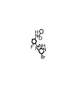 O=C(Nc1ccc(F)c(-c2nc3cc(Br)cnc3[nH]2)c1)C1CCCC1